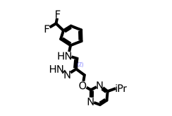 CC(C)c1ccnc(OC/C(=C/Nc2cccc(C(F)F)c2)N=N)n1